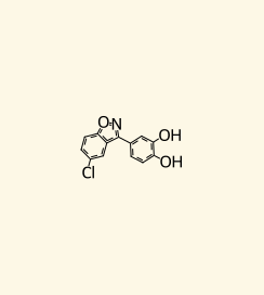 Oc1ccc(-c2noc3ccc(Cl)cc23)cc1O